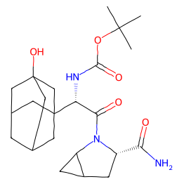 CC(C)(C)OC(=O)N[C@H](C(=O)N1C2CC2C[C@H]1C(N)=O)C12CC3CC(CC(O)(C3)C1)C2